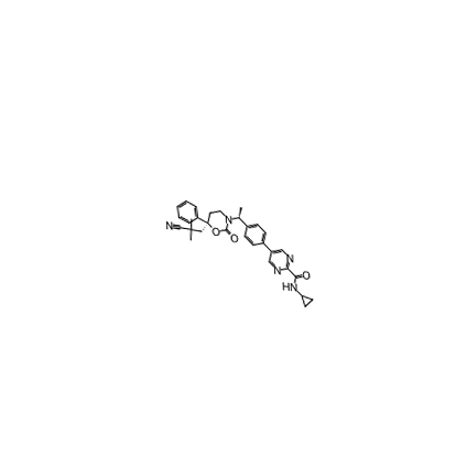 C[C@@H](c1ccc(-c2cnc(C(=O)NC3CC3)nc2)cc1)N1CC[C@](CC(C)(C)C#N)(c2ccccc2)OC1=O